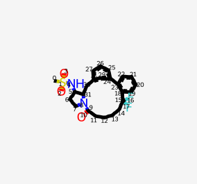 CS(=O)(=O)NC1CCN2C(=O)CCCCC(F)(F)c3ccccc3-c3cccc(c3)CC12